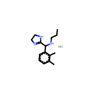 CCCNC(C1=NCCN1)c1cccc(C)c1C.Cl